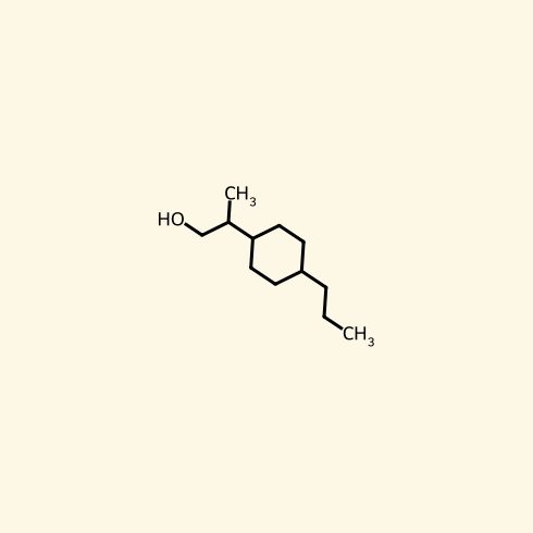 CCCC1CCC(C(C)CO)CC1